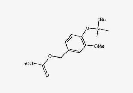 CCCCCCCCC(=O)OCc1ccc(O[Si](C)(C)C(C)(C)C)c(OC)c1